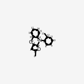 Cc1cc2c(o1)N(c1ccccc1C)c1ccccc1O2